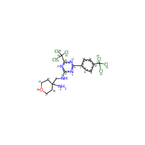 NC1(CNc2nc(-c3ccc(C(Cl)(Cl)Cl)cc3)nc(C(Cl)(Cl)Cl)n2)CCOCC1